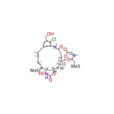 CO[C@@H]1/C=C/C=C(\C)Cc2cc(CO)c(Cl)c(c2)N(C)C(=O)C[C@H](OC(=O)[C@H](C)N(C)C(=O)CSC)[C@]2(C)O[C@H]2[C@H](C)[C@@H]2C[C@@]1(O)NC(=O)O2